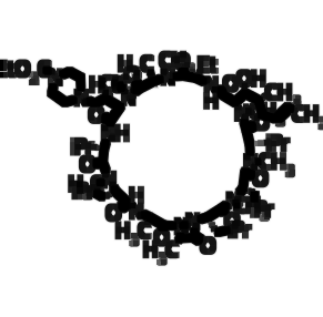 C/C=C/C[C@@H](C)[C@@H](O)[C@H]1C(=O)N[C@@H](CC)C(=O)N(C)[C@H](C)C(=O)N(C)[C@@H]([C@H](C)CN2CCN(C(=O)OCC)CC2)C(=O)N[C@@H](C(C)C)C(=O)N(C)[C@@H](CC(C)C)C(=O)N[C@@H](C)C(=O)N2[C@H](C)C(=O)N2[C@@H](CC(C)C)C(=O)N(C)[C@@H](CC(C)C)C(=O)N(C)[C@@H](C(C)C)C(=O)N1C